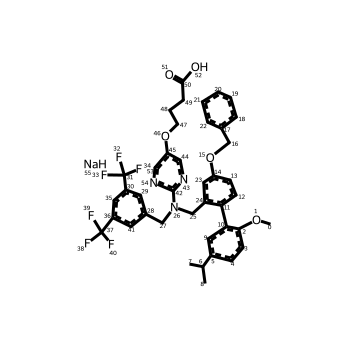 COc1ccc(C(C)C)cc1-c1ccc(OCc2ccccc2)cc1CN(Cc1cc(C(F)(F)F)cc(C(F)(F)F)c1)c1ncc(OCCCC(=O)O)cn1.[NaH]